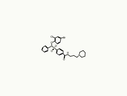 O=C(NCCCN1CCCCC1)c1ccc(S(=O)(=O)N(Oc2ccc(Br)cc2Cl)c2ccccc2)cc1